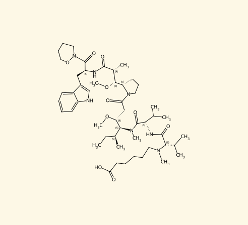 CC[C@H](C)[C@@H]([C@@H](CC(=O)N1CCC[C@H]1[C@H](OC)[C@@H](C)C(=O)N[C@@H](Cc1c[nH]c2ccccc12)C(=O)N1CCCCO1)OC)N(C)C(=O)[C@@H](NC(=O)[C@H](C(C)C)N(C)CCCCCC(=O)O)C(C)C